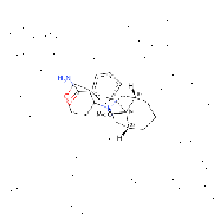 CO[C@]1(c2cccc(C(N)=O)c2)[C@@H]2CCC[C@H]1CN(C1CCOCC1)C2